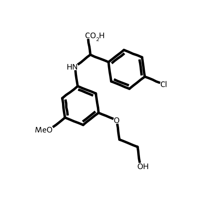 COc1cc(NC(C(=O)O)c2ccc(Cl)cc2)cc(OCCO)c1